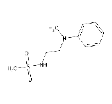 CN(CCNS(C)(=O)=O)c1ccccc1